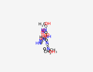 Cc1ccccc1[C@H]1CC[C@](C)(O)CN1C1CC2(CCN(c3ccc(C(=O)NS(=O)(=O)c4ccc(NCC5CCC(C)(O)CC5)c([N+](=O)[O-])c4)c(N4c5cc6cc[nH]c6nc5O[C@H]5COCC[C@@H]54)c3)CC2)C1